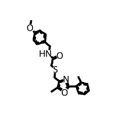 COc1ccc(CNC(=O)CSCc2nc(-c3ccccc3C)oc2C)cc1